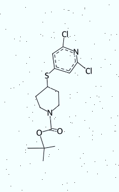 CC(C)(C)OC(=O)N1CCC(Sc2cc(Cl)nc(Cl)c2)CC1